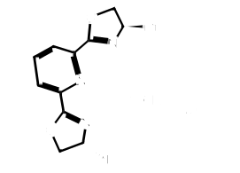 CC(C)[C@@H]1COC(c2cccc(C3=N[C@H](C(C)C)CO3)n2)=N1.[Cl-].[Cl-].[Cl-].[Fe+3]